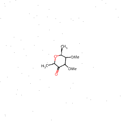 COC1C(=O)C(C)O[C@@H](C)C1OC